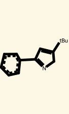 CC(C)(C)C1=CC(c2ccccc2)=NC1